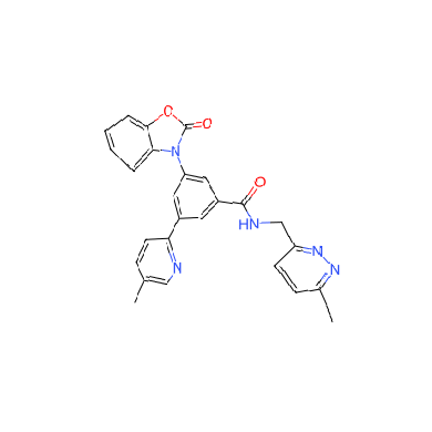 Cc1ccc(-c2cc(C(=O)NCc3ccc(C)nn3)cc(-n3c(=O)oc4ccccc43)c2)nc1